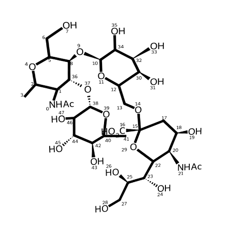 CC(=O)NC1C(C)OC(CO)[C@@H](O[C@@H]2OC(CO[C@]3(C(=O)O)C[C@@H](O)[C@@H](NC(C)=O)C([C@H](O)[C@H](O)CO)O3)[C@H](O)[C@H](O)C2O)[C@@H]1O[C@@H]1OC(C)[C@@H](O)[C@H](O)C1O